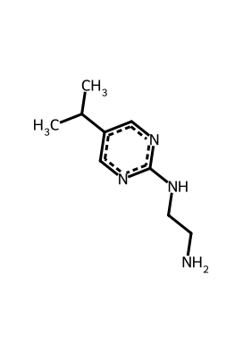 CC(C)c1cnc(NCCN)nc1